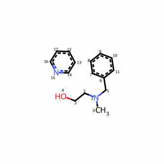 CN(CCO)Cc1ccccc1.c1ccncc1